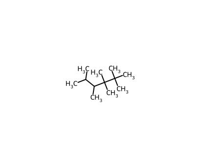 CC(C)C(C)C(C)(C)C(C)(C)C